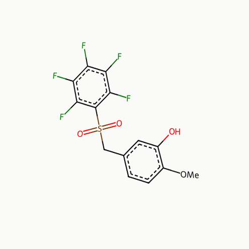 COc1ccc(CS(=O)(=O)c2c(F)c(F)c(F)c(F)c2F)cc1O